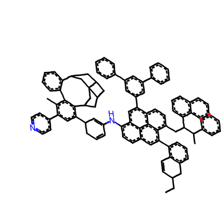 CCC1C=Cc2c(cccc2-c2cc3ccc(NC4=CC(c5cc(-c6ccncc6)c(C)c6c5C5CC7CC8CC(CC87C5)c5ccccc5-6)CC=C4)c4cc(-c5cc(-c6ccccc6)cc(-c6ccccc6)c5)c5ccc(CC(c6cccc7ccccc67)C(C)c6ccccc6)c2c5c34)C1